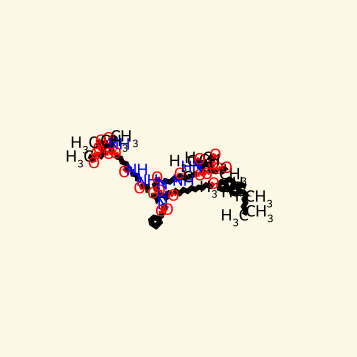 CC(=O)NC1C(OCCCCC(=O)NCCCNC(=O)CCOCC2CN(C(=O)OCc3ccccc3)CC(COCCCCCCCCCCO[C@@H]3C=C4CC[C@H]5[C@@H]6CC[C@H]([C@H](C)CCCC(C)C)[C@H]6CC[C@@H]5[C@@]4(C)CC3)C2OCCC(=O)NCCCNC(=O)CCCCOC2OC(COC(C)=O)C(OC(C)=O)C(C)C2NC(C)=O)OC(COC(C)=O)C(OC(C)=O)C1C